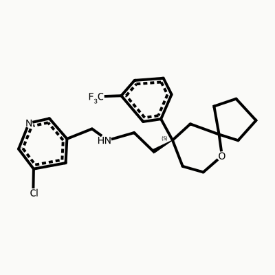 FC(F)(F)c1cccc([C@@]2(CCNCc3cncc(Cl)c3)CCOC3(CCCC3)C2)c1